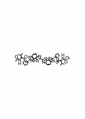 COC(=O)N[C@H](C(=O)N1CCC[C@H]1c1nc2c([nH]1)C1SC(c3nc4ccc5nc([C@@H]6CCCN6C(=O)[C@@H](NC(C)=O)C(C)C)[nH]c5c4s3)=NC1C=C2)C(C)C